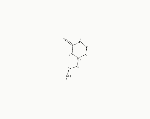 O=C1OCCN(CCO)S1